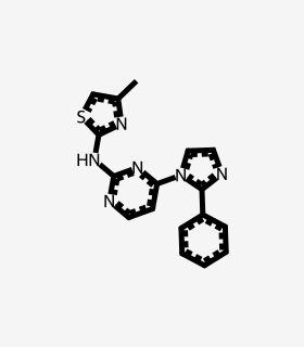 Cc1csc(Nc2nccc(-n3ccnc3-c3ccccc3)n2)n1